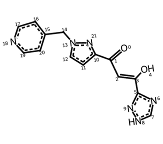 O=C(C=C(O)c1nc[nH]n1)c1ccn(Cc2ccncc2)n1